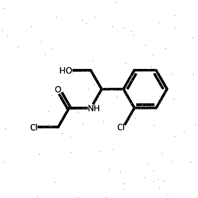 O=C(CCl)NC(CO)c1ccccc1Cl